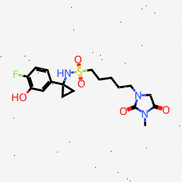 CN1C(=O)CN(CCCCCS(=O)(=O)NC2(c3ccc(F)c(O)c3)CC2)C1=O